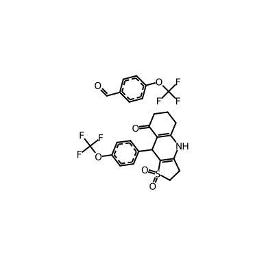 O=C1CCCC2=C1C(c1ccc(OC(F)(F)F)cc1)C1=C(CCS1(=O)=O)N2.O=Cc1ccc(OC(F)(F)F)cc1